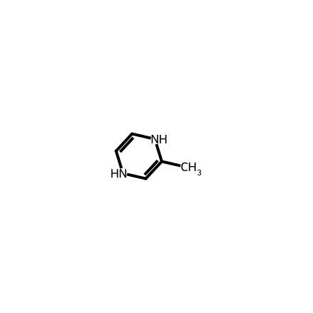 CC1=CNC=CN1